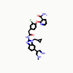 CN/C=C(\C=N)c1ccc2nc(NC(=O)Cc3ccc(Oc4ncccc4C(N)=O)c(F)c3)n(CC3CC3)c2c1